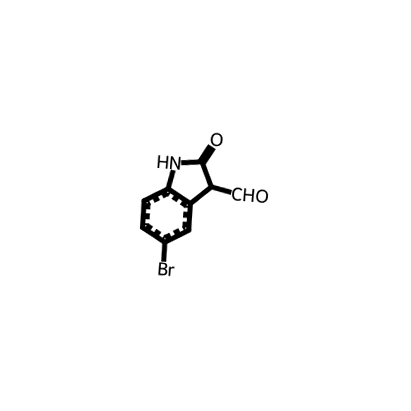 O=CC1C(=O)Nc2ccc(Br)cc21